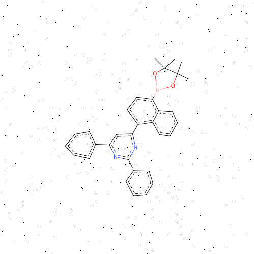 CC1(C)OB(c2ccc(-c3cc(-c4ccccc4)nc(-c4ccccc4)n3)c3ccccc23)OC1(C)C